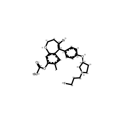 Cc1cc2c(cc1OC(=O)C(C)(C)C)OCCC(Br)=C2c1ccc(O[C@H]2CCN(CCCF)C2)cc1